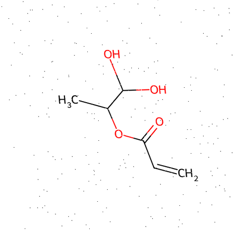 C=CC(=O)OC(C)C(O)O